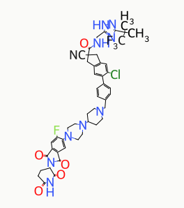 CC(C)(c1n[nH]c(CNC(=O)C2(C#N)Cc3cc(Cl)c(-c4ccc(CN5CCC(N6CCN(c7cc8c(cc7F)C(=O)N(C7CCC(=O)NC7=O)C8=O)CC6)CC5)cc4)cc3C2)n1)C(F)(F)F